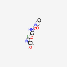 CCc1cc2c(Oc3ccc(NC(=O)CN(Cc4ccccc4)C(C)=O)cc3F)ccnc2cc1OC